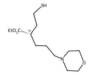 CCOC(=O)[C@H](CCS)CCCN1CCOCC1